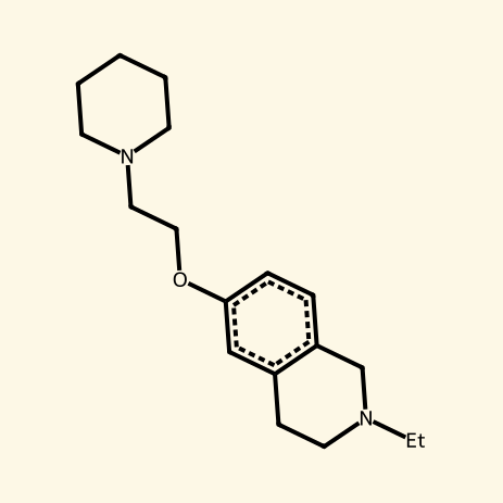 CCN1CCc2cc(OCCN3CCCCC3)ccc2C1